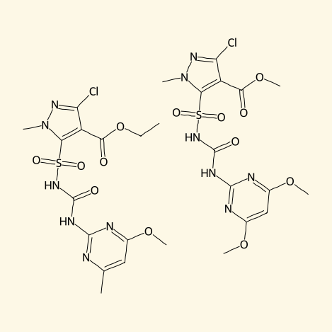 CCOC(=O)c1c(Cl)nn(C)c1S(=O)(=O)NC(=O)Nc1nc(C)cc(OC)n1.COC(=O)c1c(Cl)nn(C)c1S(=O)(=O)NC(=O)Nc1nc(OC)cc(OC)n1